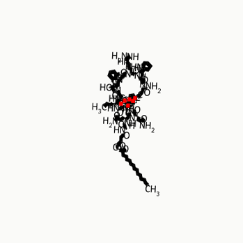 CCCCCCCCCCCCCCCC(=O)CS(=O)(=O)CCCC(=O)NCC(=O)N[C@@H](CCC(N)=O)C(=O)N[C@@H](CCC(N)=O)C(=O)N[C@@H](CC1=CCC=N1)C(=O)N[C@@H](CO)C(=O)N[C@@H](CCCC)C(=O)N[C@H]1CCC(=O)CCCCC[C@@H](C(N)=O)NC(=O)[C@H](Cc2c[nH]c3ccccc23)NC(=O)[C@H](CCCNC(=N)N)NC(=O)[C@@H](Cc2ccccc2)NC(=O)[C@@H]2C[C@@H](O)CN2C1=O